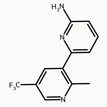 Cc1ncc(C(F)(F)F)cc1-c1cccc(N)n1